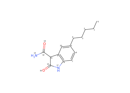 CCCCCc1ccc2c(c1)C(C(N)=O)C(=O)N2